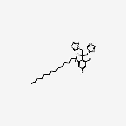 CCCCCCCCCCCCCC(=O)OC(Cn1cncn1)(Cn1cncn1)c1ccc(F)cc1F